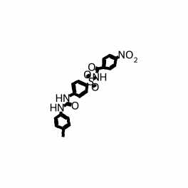 Cc1ccc(NC(=O)Nc2ccc(S(=O)(=O)NC(=O)c3ccc([N+](=O)[O-])cc3)cc2)cc1